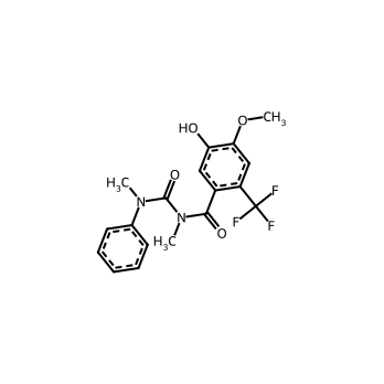 COc1cc(C(F)(F)F)c(C(=O)N(C)C(=O)N(C)c2ccccc2)cc1O